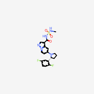 CNS(=O)(=O)NC(=O)c1cnn2ccc(N3CCC[C@@H]3c3cc(F)ccc3F)cc12